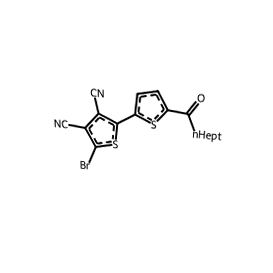 CCCCCCCC(=O)c1ccc(-c2sc(Br)c(C#N)c2C#N)s1